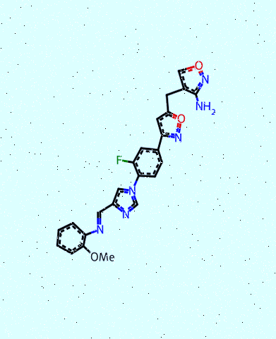 COc1ccccc1N=Cc1cn(-c2ccc(-c3cc(Cc4conc4N)on3)cc2F)cn1